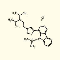 CC(C)N(CCC1=CCC(c2cccc3c2[CH]([Zr+2][SiH](C)C)c2ccccc2-3)=C1)C(C)C.[Cl-].[Cl-]